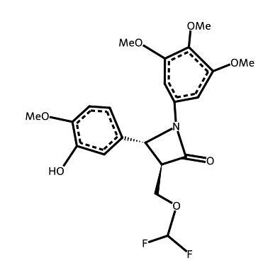 COc1ccc([C@H]2[C@H](COC(F)F)C(=O)N2c2cc(OC)c(OC)c(OC)c2)cc1O